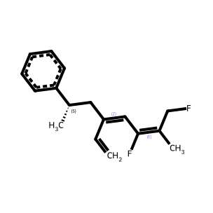 C=C/C(=C\C(F)=C(\C)CF)C[C@H](C)c1ccccc1